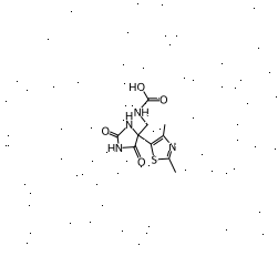 Cc1nc(C)c(C2(CNC(=O)O)NC(=O)NC2=O)s1